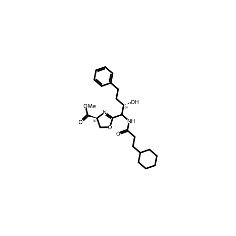 COC(=O)[C@@H]1COC(C(NC(=O)CCC2CCCCC2)[C@@H](O)CCc2ccccc2)=N1